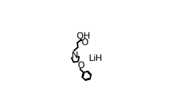 O=C(O)CCCN1CCC(OCc2ccccc2)C1.[LiH]